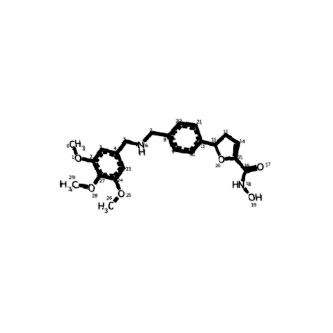 COc1cc(CNCc2ccc(C3CC=C(C(=O)NO)O3)cc2)cc(OC)c1OC